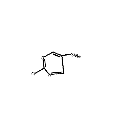 CSc1[c]nc(Cl)nc1